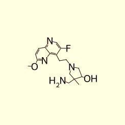 COc1ccc2ncc(F)c(CCN3CC(O)C(C)(CN)C3)c2n1